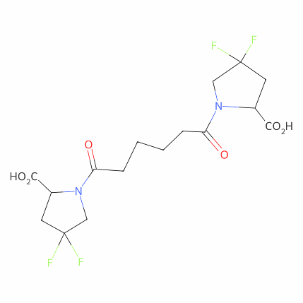 O=C(O)C1CC(F)(F)CN1C(=O)CCCCC(=O)N1CC(F)(F)CC1C(=O)O